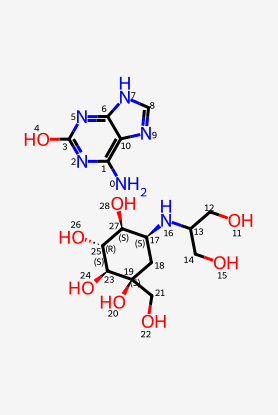 Nc1nc(O)nc2[nH]cnc12.OCC(CO)N[C@H]1C[C@](O)(CO)[C@@H](O)[C@H](O)[C@H]1O